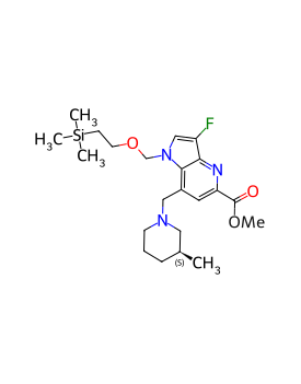 COC(=O)c1cc(CN2CCC[C@H](C)C2)c2c(n1)c(F)cn2COCC[Si](C)(C)C